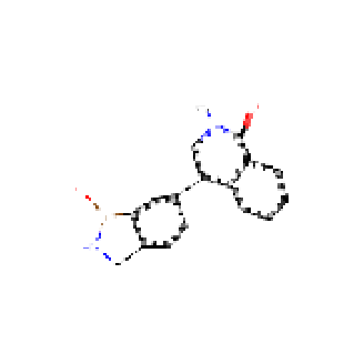 Cn1cc(-c2ccc3c(c2)[S+]([O-])NC3)c2ccccc2c1=O